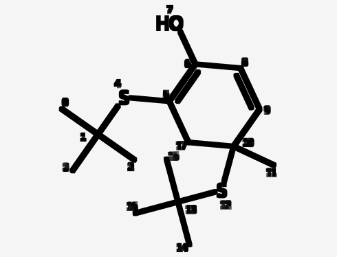 CC(C)(C)SC1=C(O)C=CC(C)(SC(C)(C)C)C1